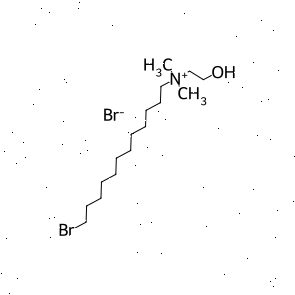 C[N+](C)(CCO)CCCCCCCCCCCCBr.[Br-]